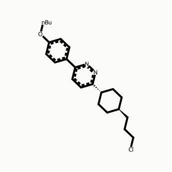 CCCCOc1ccc(-c2ccc([C@H]3CC[C@H](CCCCl)CC3)nn2)cc1